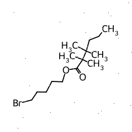 CCCC(C)(C)C(C)(C)C(=O)OCCCCCBr